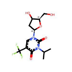 CC(C)n1c(=O)c(C(F)(F)F)cn([C@H]2CC(O)[C@@H](CO)O2)c1=O